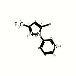 Cc1cc(C(F)(F)F)nn1-c1cccnc1